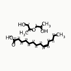 CC(O)COC(C)CO.CCCC/C=C\CCCCCCCC(=O)O